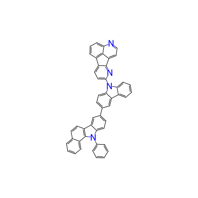 c1ccc(-n2c3ccc(-c4ccc5c(c4)c4ccccc4n5-c4ccc5c(n4)-c4ccnc6cccc-5c46)cc3c3ccc4ccccc4c32)cc1